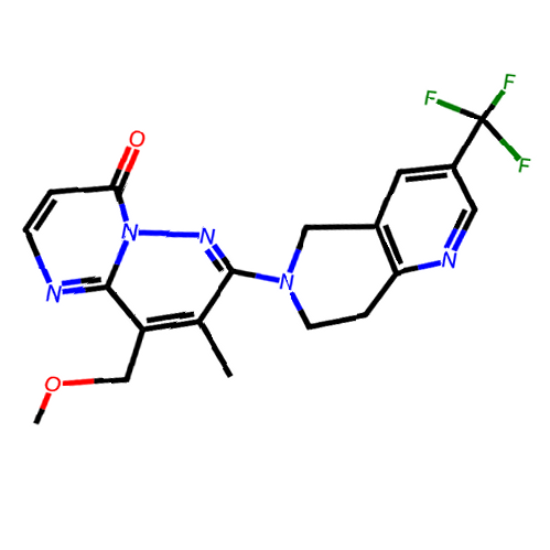 COCc1c(C)c(N2CCc3ncc(C(F)(F)F)cc3C2)nn2c(=O)ccnc12